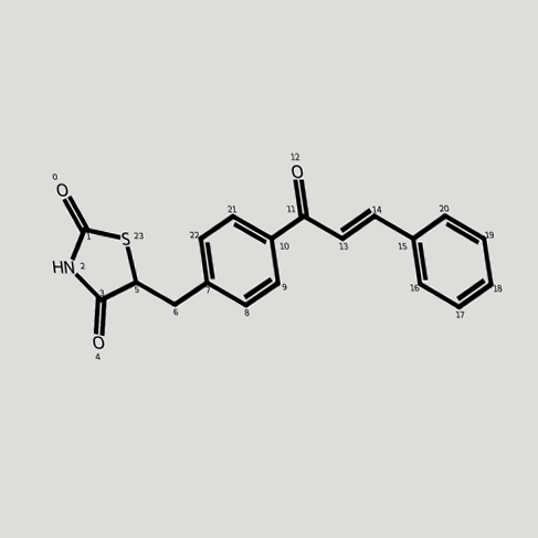 O=C1NC(=O)C(Cc2ccc(C(=O)/C=C/c3ccccc3)cc2)S1